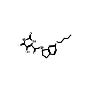 CCCCOc1ccc2c(c1)[C@@H](NC(=O)c1[nH]c(=O)[nH]c(=O)c1O)CC2